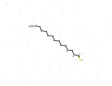 CCCCCCCCCCCCCCCCCCCC[C]=S